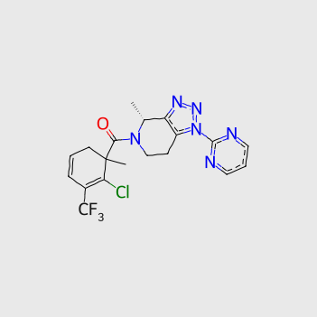 C[C@@H]1c2nnn(-c3ncccn3)c2CCN1C(=O)C1(C)CC=CC(C(F)(F)F)=C1Cl